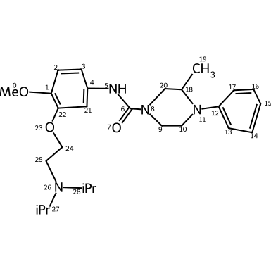 COc1ccc(NC(=O)N2CCN(c3ccccc3)C(C)C2)cc1OCCN(C(C)C)C(C)C